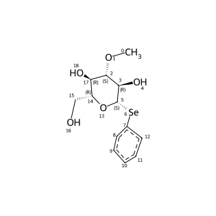 CO[C@@H]1[C@@H](O)[C@H]([Se]c2ccccc2)O[C@H](CO)[C@H]1O